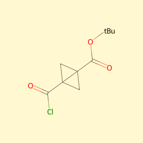 CC(C)(C)OC(=O)C12CC1(C(=O)Cl)C2